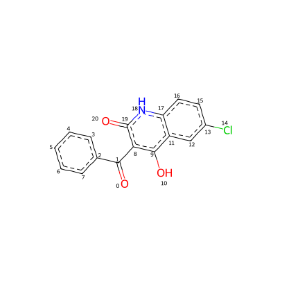 O=C(c1ccccc1)c1c(O)c2cc(Cl)ccc2[nH]c1=O